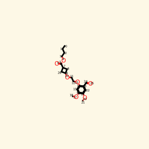 CCCCOC(=O)C1CC(OCCOc2cc(OC)c(OC)cc2C=O)C1